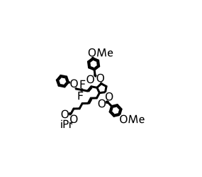 COc1ccc(C(=O)OC2CC(OC(=O)c3ccc(OC)cc3)C(CC=CCCCC(=O)OC(C)C)C2C=CC(F)(F)COc2ccccc2)cc1